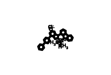 CCC1=Cc2c(-c3ccc(-c4ccccc4)cc3)cccc2C1c1cccc2c1[CH]([Zr+2][SiH](C)C)c1ccccc1-2.[Cl-].[Cl-]